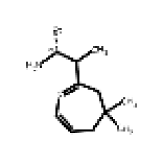 CC[C@@H](N)C(C)C1=NC=CCC(C)(C)C1